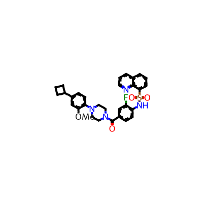 COc1cc(C2CCC2)ccc1N1CCN(C(=O)c2ccc(NS(=O)(=O)c3cccc4cccnc34)c(F)c2)CC1